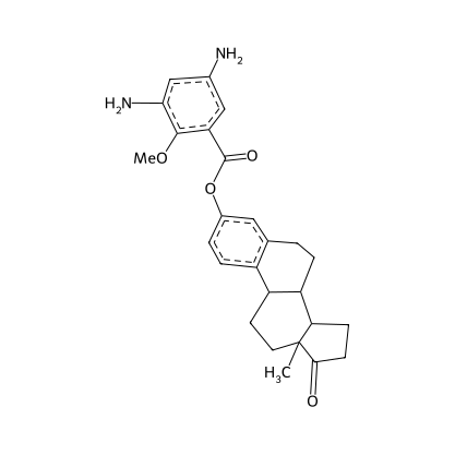 COc1c(N)cc(N)cc1C(=O)Oc1ccc2c(c1)CCC1C2CCC2(C)C(=O)CCC12